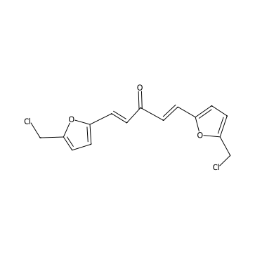 O=C(C=Cc1ccc(CCl)o1)C=Cc1ccc(CCl)o1